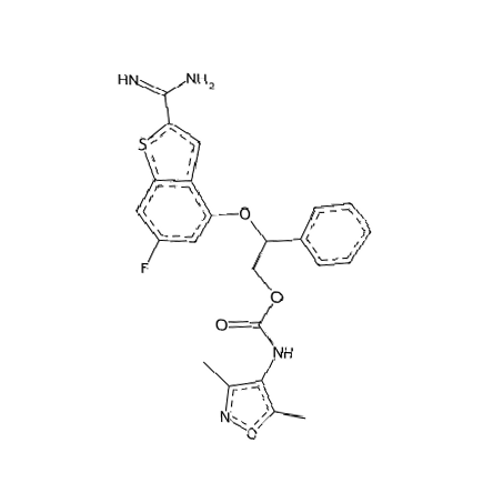 Cc1noc(C)c1NC(=O)OCC(Oc1cc(F)cc2sc(C(=N)N)cc12)c1ccccc1